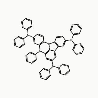 c1ccc(N(c2ccccc2)c2ccc3c(c2)-c2cc(N(c4ccccc4)c4ccccc4)cc4c2B3c2ccc(N(c3ccccc3)c3ccccc3)cc2N4c2ccccc2)cc1